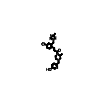 Cc1nnn(Cc2cc(Cl)ccc2C=CC(=O)N2CCN(Cc3ccc(O)cn3)CC2C)n1